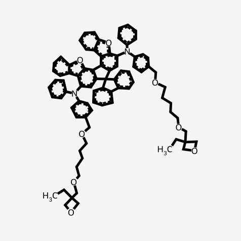 CCC1(COCCCCCOCc2ccc(N(c3ccccc3)c3cc4c(c5c3oc3ccccc35)-c3c(cc(N(c5ccccc5)c5ccc(COCCCCCOCC6(CC)COC6)cc5)c5c3oc3ccccc35)C43c4ccccc4-c4ccccc43)cc2)COC1